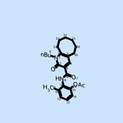 CCCCn1c2c(cc(C(=O)Nc3c(C)cccc3OC(C)=O)c1=O)CCCCCC2